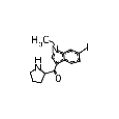 CCn1cc(C(=O)C2CCCN2)c2ccc(I)cc21